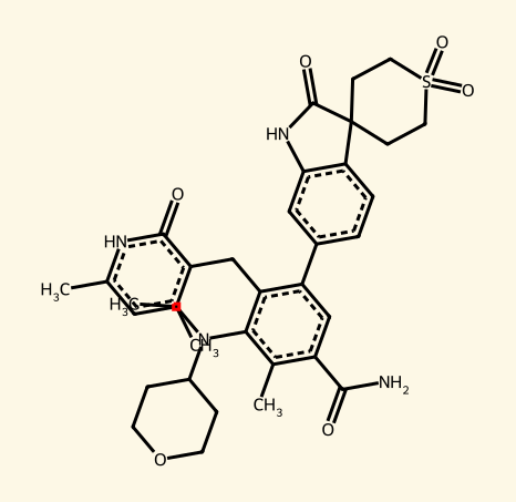 CCN(c1c(C)c(C(N)=O)cc(-c2ccc3c(c2)NC(=O)C32CCS(=O)(=O)CC2)c1Cc1c(C)cc(C)[nH]c1=O)C1CCOCC1